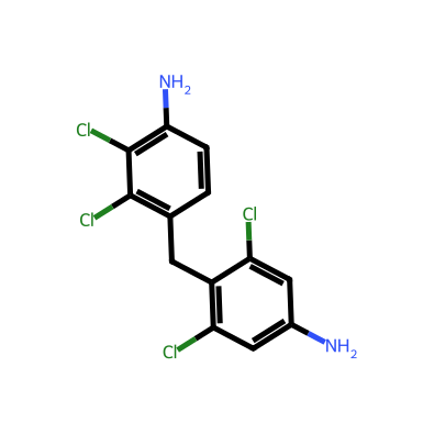 Nc1cc(Cl)c(Cc2ccc(N)c(Cl)c2Cl)c(Cl)c1